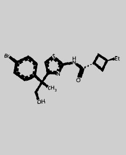 CC[C@H]1C[C@H](C(=O)Nc2nc(C(C)(CO)c3ccc(Br)cc3)cs2)C1